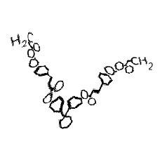 C=CC(=O)OCOc1ccc(C=CC(=O)Oc2ccc(C3(c4ccc(OC(=O)C=Cc5ccc(OCOC(=O)C=C)cc5)cc4)CCCCC3)cc2)cc1